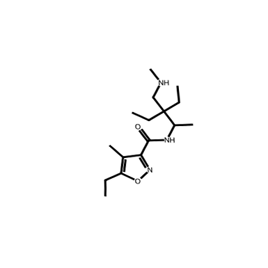 CCc1onc(C(=O)NC(C)C(CC)(CC)CNC)c1C